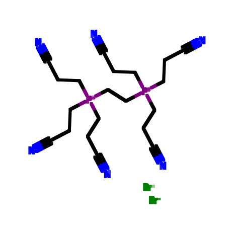 N#CCC[P+](CCC#N)(CCC#N)CC[P+](CCC#N)(CCC#N)CCC#N.[Br-].[Br-]